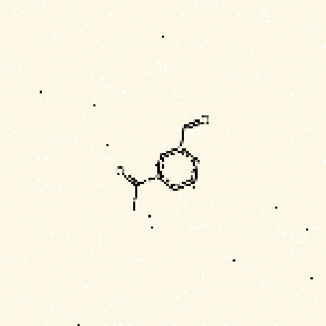 O=Cc1cccc(C(=O)I)c1